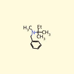 CCC(C)(C)N(C)Cc1ccccc1